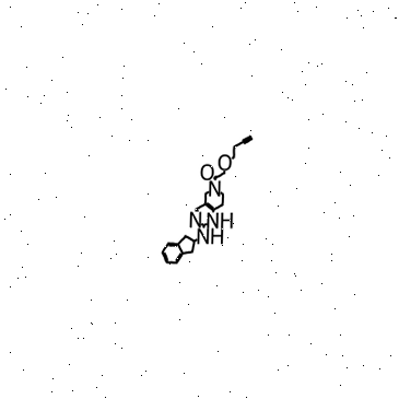 C#CCCOCC(=O)N1CCC2=C(C=NC(NC3Cc4ccccc4C3)N2)C1